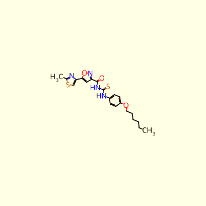 CCCCCCOc1ccc(NC(=S)NC(=O)c2cc(-c3csc(C)n3)on2)cc1